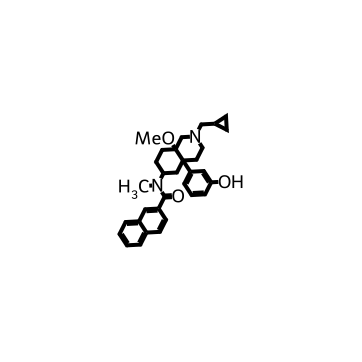 COC12CCC(N(C)C(=O)c3ccc4ccccc4c3)CC1(c1cccc(O)c1)CCN(CC1CC1)C2